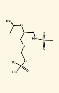 C[C@H](O[C@@H](CNS(C)(=O)=O)COCOP(=O)(O)O)C(C)(C)C